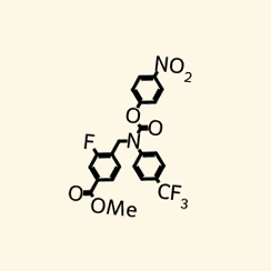 COC(=O)c1ccc(CN(C(=O)Oc2ccc([N+](=O)[O-])cc2)c2ccc(C(F)(F)F)cc2)c(F)c1